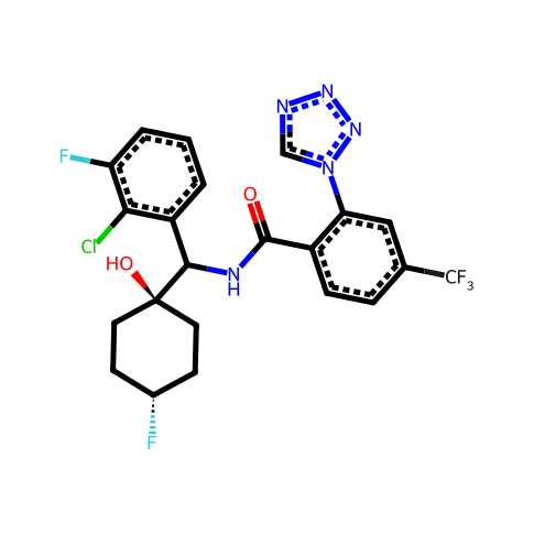 O=C(NC(c1cccc(F)c1Cl)[C@]1(O)CC[C@H](F)CC1)c1ccc(C(F)(F)F)cc1-n1cnnn1